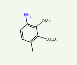 CCOC(=O)c1c(C)ccc(N)c1OC